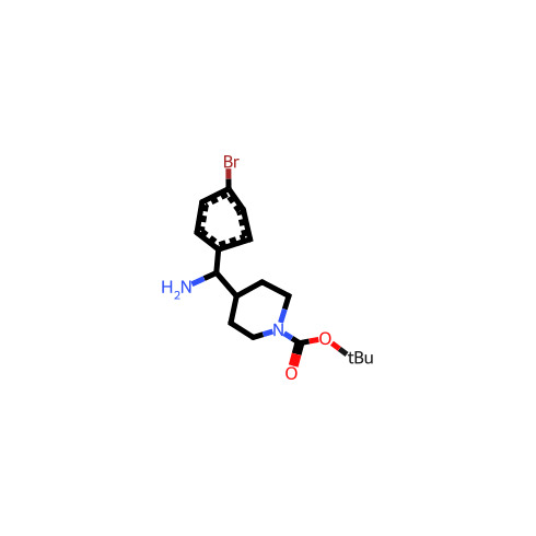 CC(C)(C)OC(=O)N1CCC(C(N)c2ccc(Br)cc2)CC1